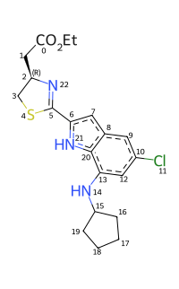 CCOC(=O)C[C@@H]1CSC(c2cc3cc(Cl)cc(NC4CCCC4)c3[nH]2)=N1